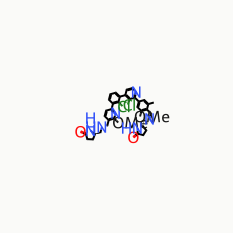 COc1cc(-c2nccc(-c3cccc(-c4ccc(CNC[C@H]5CCC(=O)N5)c(OC)n4)c3Cl)c2Cl)cc(C)c1CN(C)C[C@@H]1CCC(=O)N1